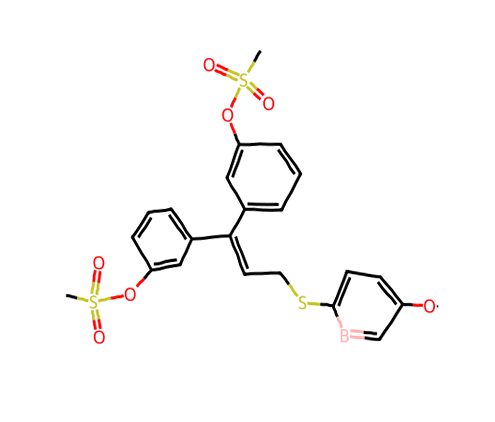 CS(=O)(=O)Oc1cccc(C(=CCSc2bcc([O])cc2)c2cccc(OS(C)(=O)=O)c2)c1